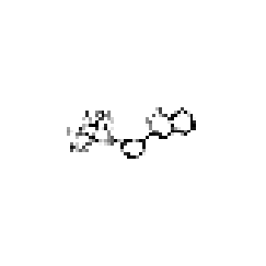 CC1(C)OB(c2cccc(-c3cc4ccccc4nn3)c2)OC1(C)C